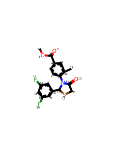 COC(=O)c1ccc(N2C(=O)CSC2c2cc(F)cc(F)c2)c(C)c1